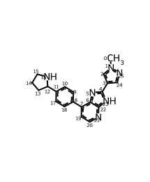 Cn1cc(-c2nc3c(-c4ccc(C5CCCN5)cc4)ccnc3[nH]2)cn1